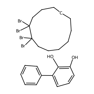 BrC1(Br)CCCCCCCCCCC1(Br)Br.Oc1cccc(-c2ccccc2)c1O